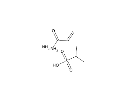 C=CC(N)=O.CC(C)S(=O)(=O)O.N